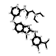 CCN(CC)CC(=O)Nc1cc(Oc2ccc3c(c2)nc(Nc2ccc(F)c(C(C)C)c2)n3C)ccn1